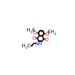 CCCNC1=CC(=O)c2c(OC)ccc(OC)c2C1=O